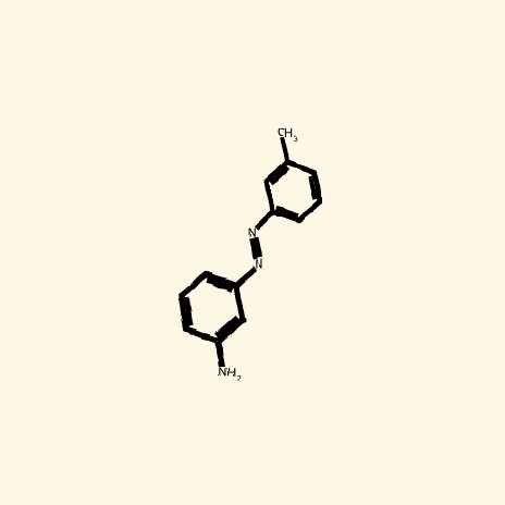 Cc1cccc(/N=N/c2cccc(N)c2)c1